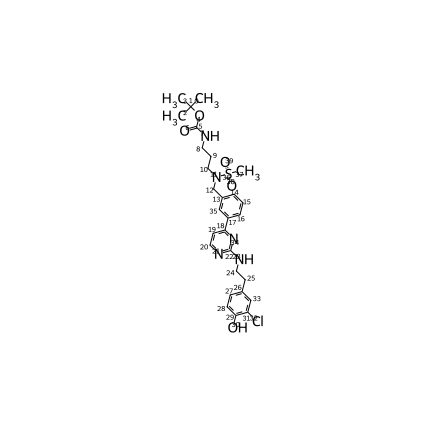 CC(C)(C)OC(=O)NCCCN(Cc1cccc(-c2ccnc(NCCc3ccc(O)c(Cl)c3)n2)c1)S(C)(=O)=O